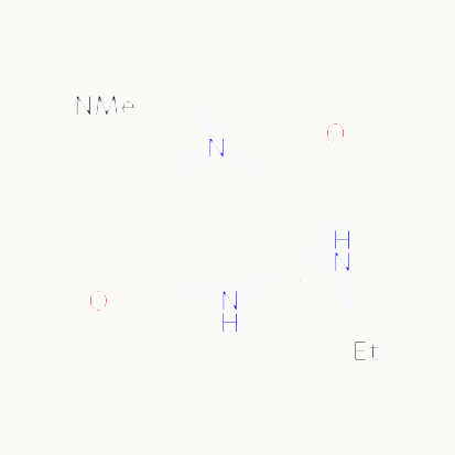 CCN[C@@H]1NC(=O)[C@H](CNC)N(C)C1=O